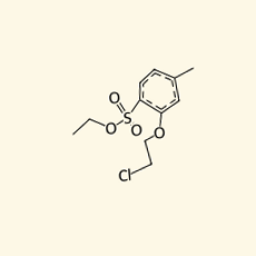 CCOS(=O)(=O)c1ccc(C)cc1OCCCl